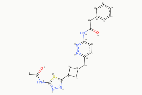 CC(=O)Nc1nnc(C2CC(Cc3ccc(NC(=O)Cc4ccccc4)nn3)C2)s1